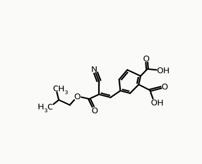 CC(C)COC(=O)/C(C#N)=C/c1ccc(C(=O)O)c(C(=O)O)c1